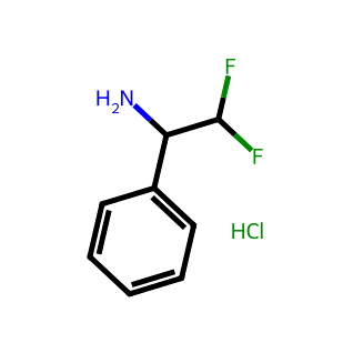 Cl.NC(c1ccccc1)C(F)F